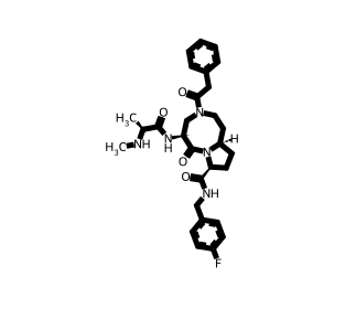 CN[C@@H](C)C(=O)N[C@H]1CN(C(=O)Cc2ccccc2)CC[C@H]2CC[C@@H](C(=O)NCc3ccc(F)cc3)N2C1=O